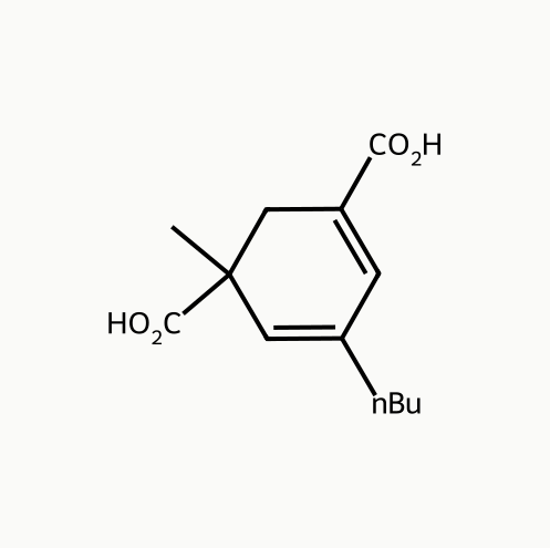 CCCCC1=CC(C)(C(=O)O)CC(C(=O)O)=C1